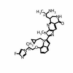 C[C@H](COc1cccc2cc(-c3nc4cc5c(nc4n3C)C(C[C@@H](C)N)CNC5=O)n(CC3CC3)c12)n1cnc(F)c1